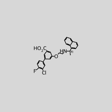 C[C@@H](NCCOc1cc(C(=O)O)cc(-c2ccc(F)c(Cl)c2)c1)c1cccc2ccccc12